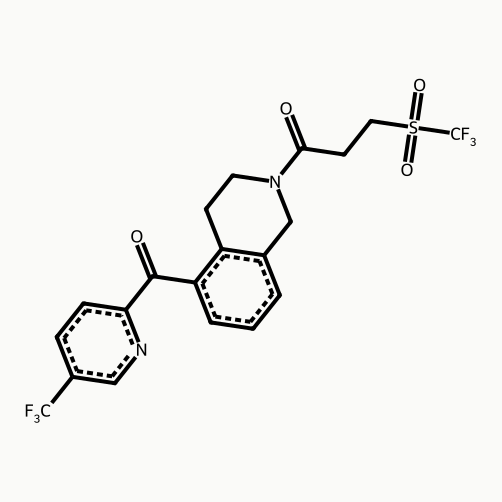 O=C(c1ccc(C(F)(F)F)cn1)c1cccc2c1CCN(C(=O)CCS(=O)(=O)C(F)(F)F)C2